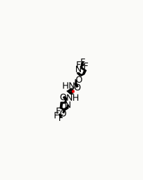 O=C(COc1ccc(C(F)(F)F)nc1)NC12CC(NC(=O)c3ccc(OC(F)(F)F)cn3)(C1)C2